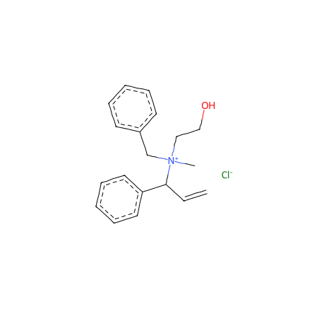 C=CC(c1ccccc1)[N+](C)(CCO)Cc1ccccc1.[Cl-]